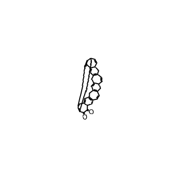 O=C1C(=O)C2CC3=C4C=C2CC2=C1CC1C=CC5CC6=C(C=C5CC1=C2)CC1=CC(=C(C=C3)CC1C=C6)C4